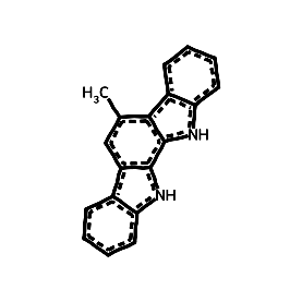 Cc1cc2c3ccccc3[nH]c2c2[nH]c3ccccc3c12